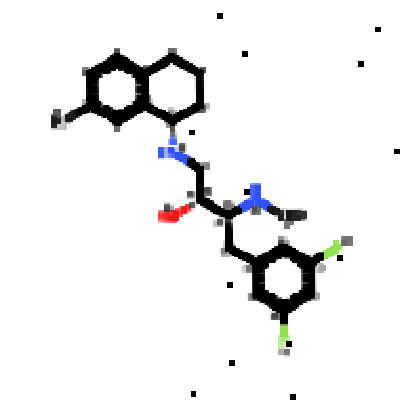 CCc1ccc2c(c1)[C@@H](NC[C@@H](O)[C@H](Cc1cc(F)cc(F)c1)NC=O)CCC2